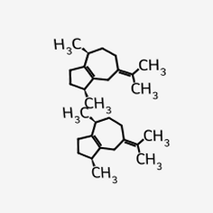 CC(C)=C1CC[C@H](C)C2=C(C1)[C@@H](C)CC2.CC(C)=C1CC[C@H](C)C2=C(C1)[C@@H](C)CC2